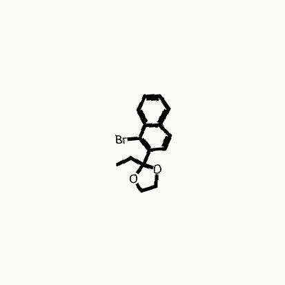 CCC1(c2ccc3ccccc3c2Br)OCCO1